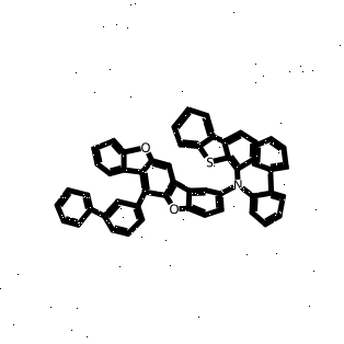 c1ccc(-c2cccc(-c3c4oc5ccc(N(c6ccccc6-c6ccccc6)c6cccc7c6sc6ccccc67)cc5c4cc4oc5ccccc5c34)c2)cc1